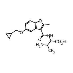 CCOC(=O)C(NC(=O)c1c(C)oc2ccc(OCC3CC3)cc12)C(N)C(F)(F)F